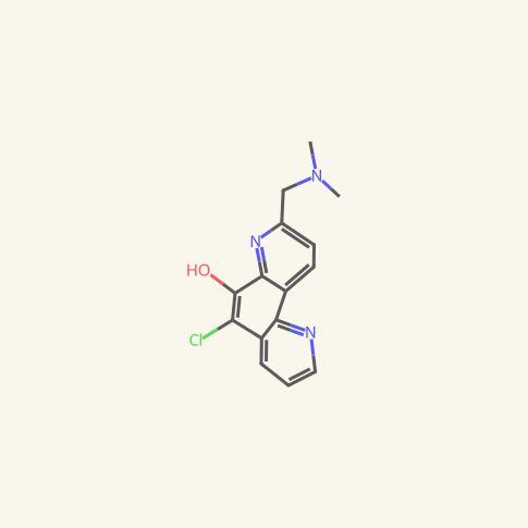 CN(C)Cc1ccc2c(n1)c(O)c(Cl)c1cccnc12